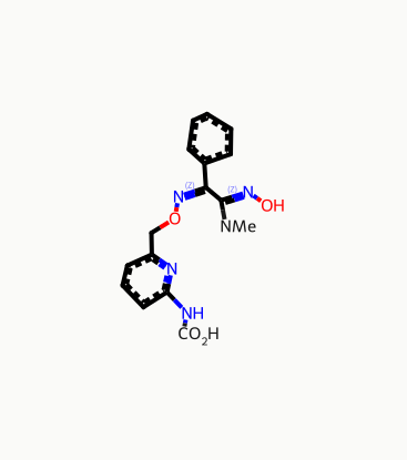 CNC(=N\O)/C(=N\OCc1cccc(NC(=O)O)n1)c1ccccc1